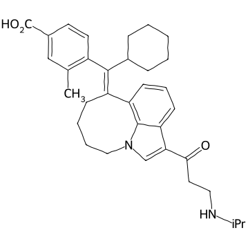 Cc1cc(C(=O)O)ccc1/C(=C1\CCCCn2cc(C(=O)CCNC(C)C)c3cccc1c32)C1CCCCC1